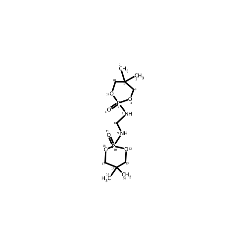 CC1(C)COP(=O)(NCNP2(=O)OCC(C)(C)CO2)OC1